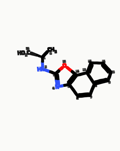 C[C@@H](Nc1nc2ccc3ccccc3c2o1)C(=O)O